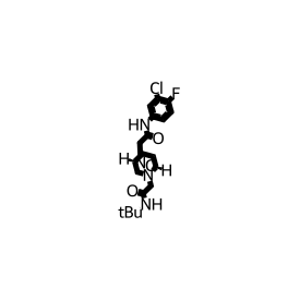 CC(C)(C)NC(=O)CN1C[C@@H]2CC[C@H]1CN2CC(=O)Nc1ccc(F)c(Cl)c1